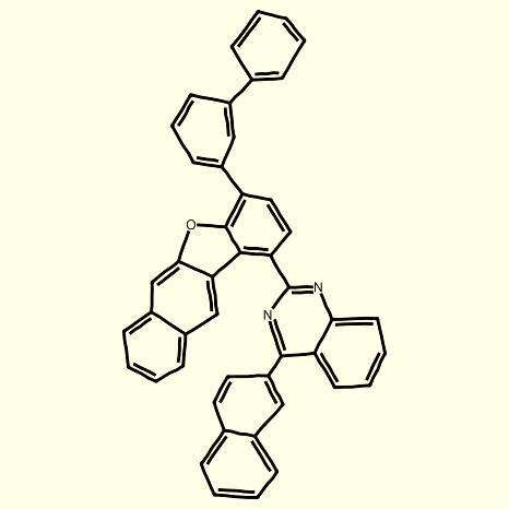 c1ccc(-c2cccc(-c3ccc(-c4nc(-c5ccc6ccccc6c5)c5ccccc5n4)c4c3oc3cc5ccccc5cc34)c2)cc1